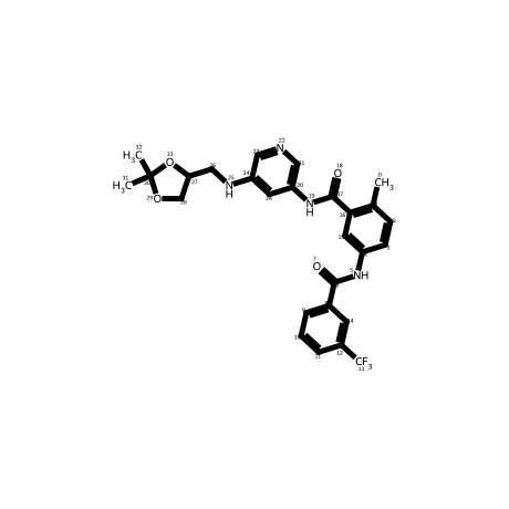 Cc1ccc(NC(=O)c2cccc(C(F)(F)F)c2)cc1C(=O)Nc1cncc(NCC2COC(C)(C)O2)c1